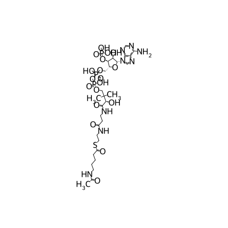 CC(=O)NCCCCC(=O)SCCNC(=O)CCNC(=O)[C@H](O)C(C)(C)COP(=O)(O)OP(=O)(O)OC[C@H]1O[C@@H](n2cnc3c(N)ncnc32)[C@H](O)[C@@H]1OP(=O)(O)O